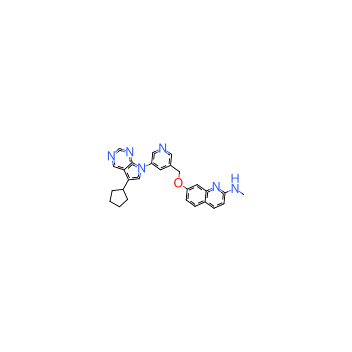 CNc1ccc2ccc(OCc3cncc(-n4cc(C5CCCC5)c5cncnc54)c3)cc2n1